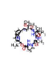 CO[C@@H](C)[C@H]1/C=C/c2ccc3ccc(nc3c2)[C@@H](C)OC(=O)[C@@H]2CCCN(N2)C(=O)[C@H](C)NC(=O)[C@H](C(C)C)NC1=O